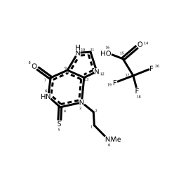 CNCCn1c(=S)[nH]c(=O)c2[nH]cnc21.O=C(O)C(F)(F)F